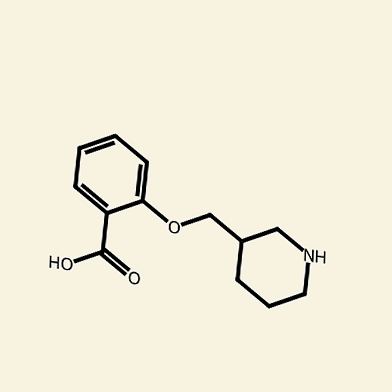 O=C(O)c1ccccc1OCC1CCCNC1